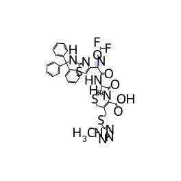 Cn1nnnc1SCC1=C(C(=O)O)N2C(=O)C(NC(=O)/C(=N/OC(F)F)c3csc(NC(c4ccccc4)(c4ccccc4)c4ccccc4)n3)[C@H]2SC1